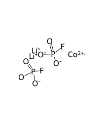 O=P([O-])([O-])F.O=P([O-])([O-])F.[Co+2].[Li+].[Li+]